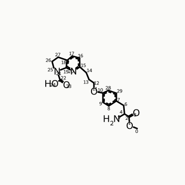 COC(=O)C(N)Cc1ccc(OCCCc2ccc3c(n2)N(C(=O)O)CCC3)cc1